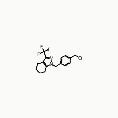 FC(F)(F)c1nn(Cc2ccc(CCl)cc2)c2c1CCCC2